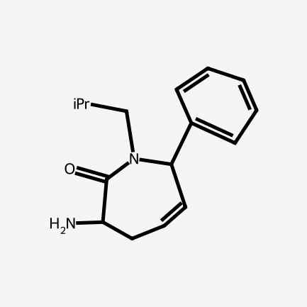 CC(C)CN1C(=O)C(N)CC=CC1c1ccccc1